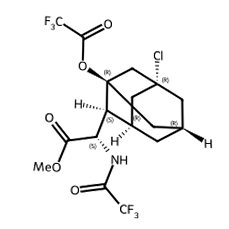 COC(=O)[C@@H](NC(=O)C(F)(F)F)[C@@H]1[C@@H]2C[C@H]3C[C@@](Cl)(C2)C[C@]1(OC(=O)C(F)(F)F)C3